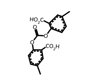 Cc1ccc(OC(=O)Oc2ccc(C)cc2C(=O)O)c(C(=O)O)c1